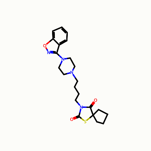 O=C1SC2(CCCC2)C(=O)N1CCCCN1CCN(c2noc3ccccc23)CC1